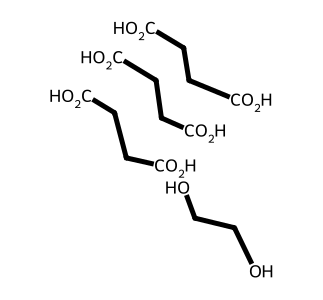 O=C(O)CCC(=O)O.O=C(O)CCC(=O)O.O=C(O)CCC(=O)O.OCCO